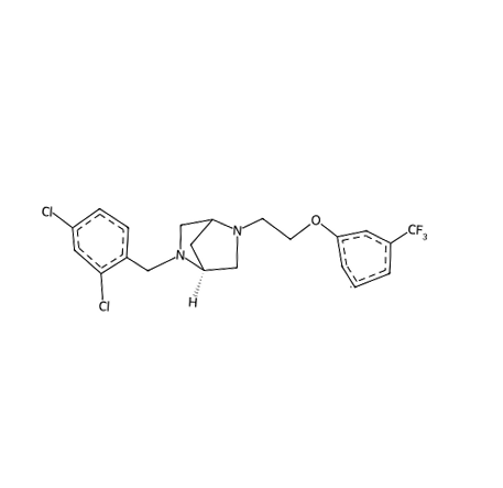 FC(F)(F)c1c[c]cc(OCCN2C[C@@H]3CC2CN3Cc2ccc(Cl)cc2Cl)c1